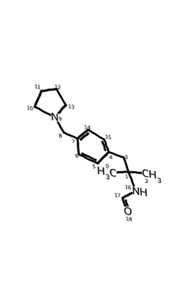 CC(C)(Cc1ccc(CN2CCCC2)cc1)NC=O